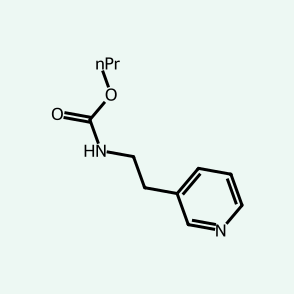 CCCOC(=O)NCCc1cccnc1